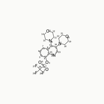 O=S(=O)(Oc1cccc2c(N3CCOCC3)c(N3CCOCC3)cnc12)C(F)(F)F